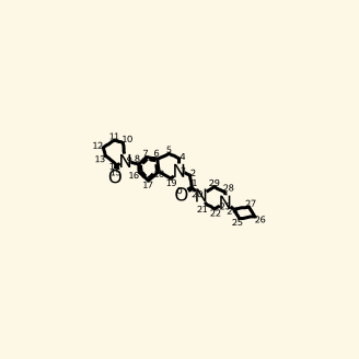 O=C(CN1CCc2cc(N3CCCCC3=O)ccc2C1)N1CCN(C2CCC2)CC1